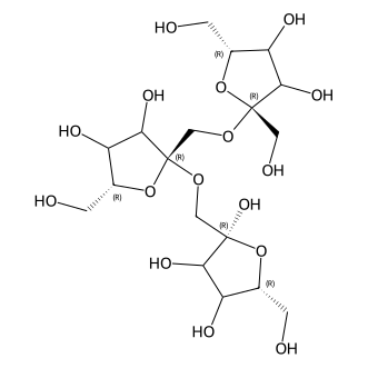 OC[C@H]1O[C@@](CO)(OC[C@@]2(OC[C@@]3(O)O[C@H](CO)C(O)C3O)O[C@H](CO)C(O)C2O)C(O)C1O